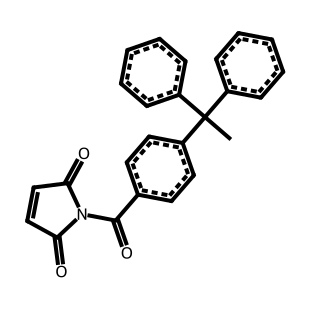 CC(c1ccccc1)(c1ccccc1)c1ccc(C(=O)N2C(=O)C=CC2=O)cc1